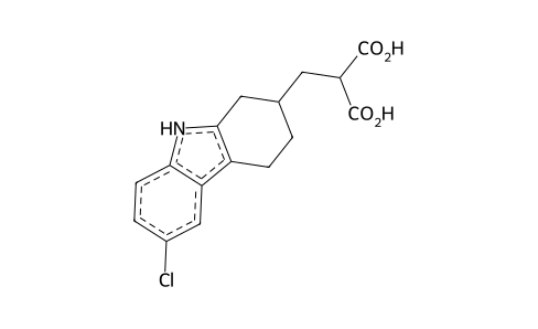 O=C(O)C(CC1CCc2c([nH]c3ccc(Cl)cc23)C1)C(=O)O